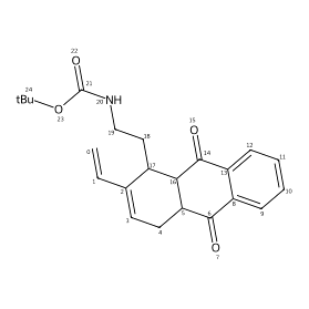 C=CC1=CCC2C(=O)c3ccccc3C(=O)C2C1CCNC(=O)OC(C)(C)C